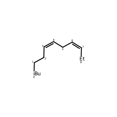 [CH2]CC(C)CC/C=C\C/C=C\CC